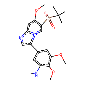 CNc1cc(-c2cnc3cc(OC)c(S(=O)(=O)C(C)(C)C)cn23)cc(OC)c1OC